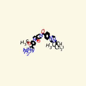 COc1cc(N2CCC3(CCN(C(=O)c4ccc(N5CCN(CC(C)(C)C)CC5)cc4)CC3)C2=O)ccc1/C(C=N)=C/N